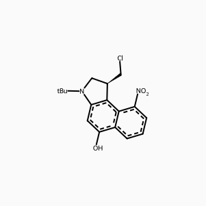 CC(C)(C)N1C[C@@H](CCl)c2c1cc(O)c1cccc([N+](=O)[O-])c21